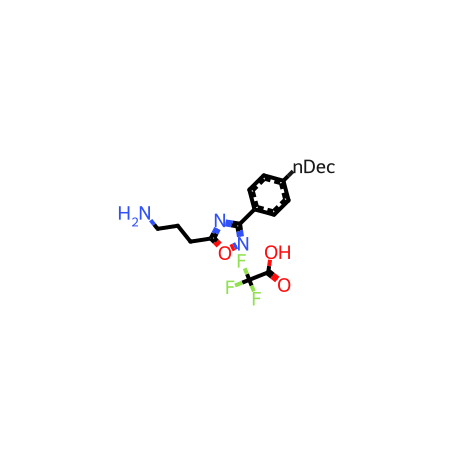 CCCCCCCCCCc1ccc(-c2noc(CCCN)n2)cc1.O=C(O)C(F)(F)F